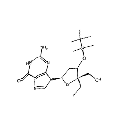 CC(C)(C)[Si](C)(C)OC1C[C@H](n2cnc3c(=O)[nH]c(N)nc32)O[C@@]1(CO)CI